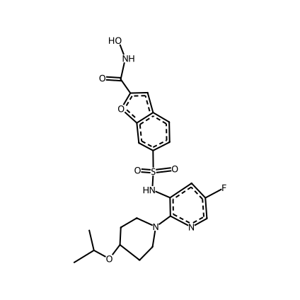 CC(C)OC1CCN(c2ncc(F)cc2NS(=O)(=O)c2ccc3cc(C(=O)NO)oc3c2)CC1